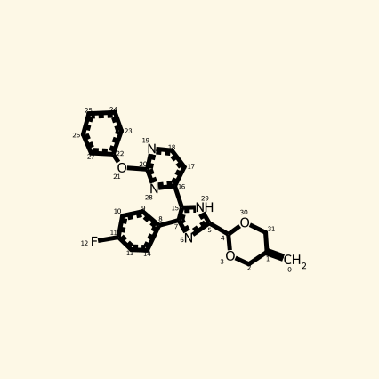 C=C1COC(c2nc(-c3ccc(F)cc3)c(-c3ccnc(Oc4ccccc4)n3)[nH]2)OC1